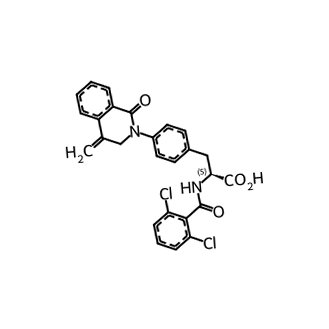 C=C1CN(c2ccc(C[C@H](NC(=O)c3c(Cl)cccc3Cl)C(=O)O)cc2)C(=O)c2ccccc21